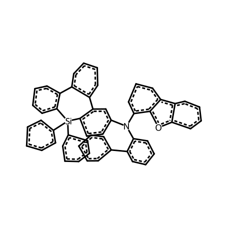 c1ccc(-c2ccccc2N(c2ccc3c(c2)-c2ccccc2-c2ccccc2[Si]3(c2ccccc2)c2ccccc2)c2cccc3c2oc2ccccc23)cc1